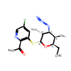 COC(=O)c1ncc(Cl)cc1S[C@H]1O[C@H](COC(C)=O)[C@H](OC(C)=O)[C@H](N=[N+]=[N-])[C@H]1OC(C)=O